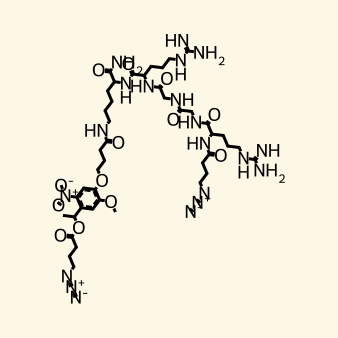 COc1cc(C(C)OC(=O)CCCN=[N+]=[N-])c([N+](=O)[O-])cc1OCCCC(=O)NCCCCC(NC(=O)C(CCCNC(=N)N)NC(=O)CNC(=O)CNC(=O)C(CCCNC(=N)N)NC(=O)CCCN=[N+]=[N-])C(N)=O